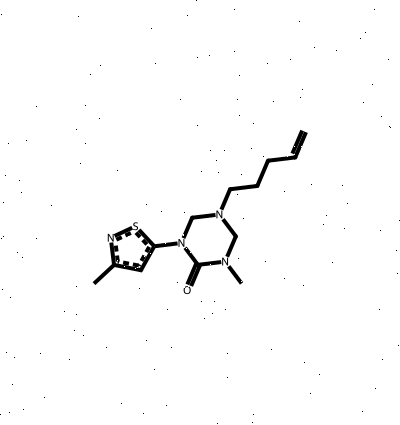 C=CCCCN1CN(C)C(=O)N(c2cc(C)ns2)C1